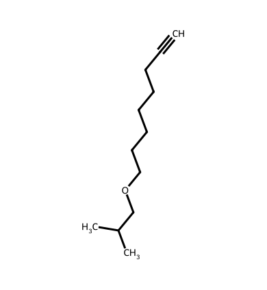 C#CCCCCCCOCC(C)C